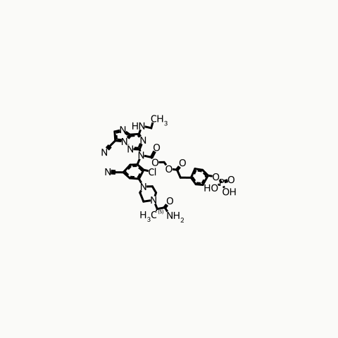 CCNc1nc(N(C(=O)OCOC(=O)Cc2ccc(OP(=O)(O)O)cc2)c2cc(C#N)cc(N3CCN([C@@H](C)C(N)=O)CC3)c2Cl)nn2c(C#N)cnc12